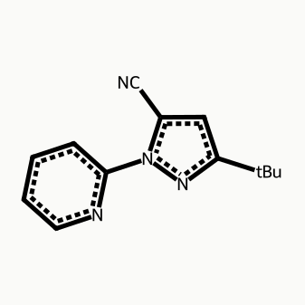 CC(C)(C)c1cc(C#N)n(-c2ccccn2)n1